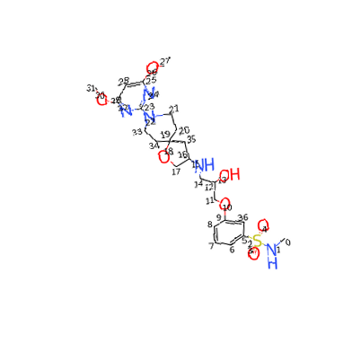 CNS(=O)(=O)c1cccc(OCC(O)CNC2COC3(CCN(c4nc(OC)cc(OC)n4)CC3)C2)c1